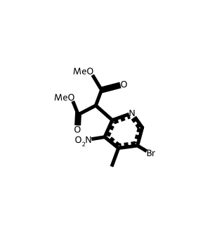 COC(=O)C(C(=O)OC)c1ncc(Br)c(C)c1[N+](=O)[O-]